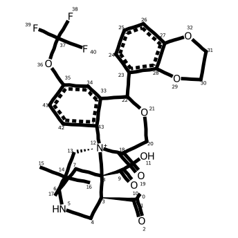 CC(=O)[C@H]1CNCC[C@]1(C(=O)O)[N@+]1(CC(C)(C)C)C(=O)COC(c2cccc3c2OCCO3)c2cc(OC(F)(F)F)ccc21